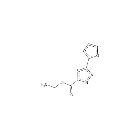 CCOC(=O)c1nnc(-c2ccco2)s1